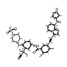 Cc1cc(F)c(C(=O)Nc2ccc(CN3CCN(S(C)(=O)=O)CC3)c(C(C)(C)C#N)c2)cc1C#Cc1cnc2c(Nc3cn[nH]c3)cccn12